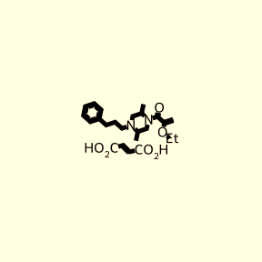 C=C(OCC)C(=O)N1CC(C)N(CCCc2ccccc2)CC1C.O=C(O)C=CC(=O)O